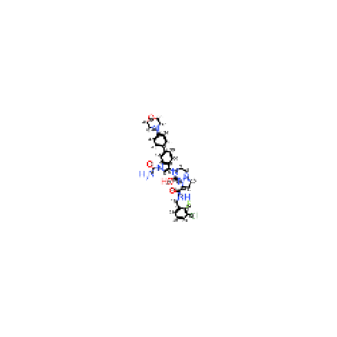 NC(=O)n1cc(N2CCN3CC[C@@H](C(=O)NCc4cccc(Cl)c4F)N3[C@H]2O)c2ccc(-c3ccc(N4CCOCC4)cc3)cc21